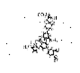 CCOc1ccc(-c2ccc(C(Oc3cc(N4CCC5(CC4)CN[C@H](C(=O)O)C5)nc(N)n3)C(F)(F)F)c(-n3ccc(C)n3)c2)cc1Cl